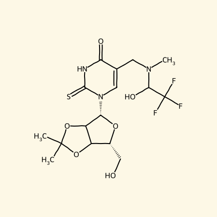 CN(Cc1cn([C@@H]2O[C@H](CO)C3OC(C)(C)OC32)c(=S)[nH]c1=O)C(O)C(F)(F)F